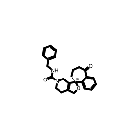 O=C1CCC[C@@]2(OCC3=C2CN(C(=O)NCc2ccccc2)CC3)c2ccccc21